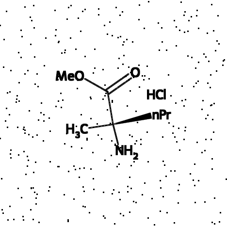 CCC[C@](C)(N)C(=O)OC.Cl